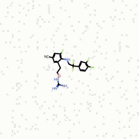 N#Cc1cc(F)c(NCC(F)(F)c2ccc(F)c(F)c2)c(CCONC(=N)N)c1